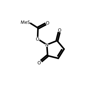 CSC(=O)ON1C(=O)C=CC1=O